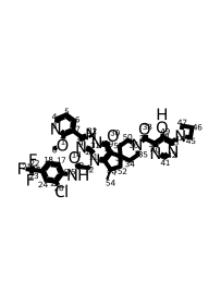 COc1ncccc1-c1nc2n(CC(=O)Nc3ccc(C(F)(F)F)cc3Cl)c3c(c(=O)n2n1)C1(CCN(C(=O)c2ncnc(N4CCC4)c2O)CC1)C[C@H]3C